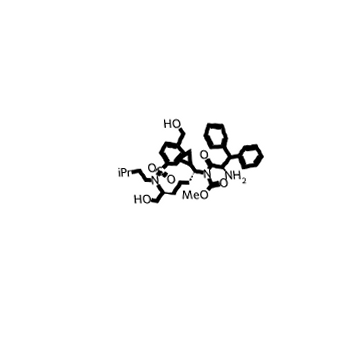 COC(=O)N(C(=O)[C@@H](N)C(c1ccccc1)c1ccccc1)[C@H](CCC[C@@H](CO)N(CCC(C)C)S(=O)(=O)c1ccc(CO)cc1)C1CC1